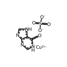 O=S(=O)([O-])[O-].O=c1[nH]cnc2nc[nH]c12.[Cu+2]